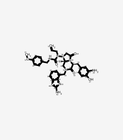 C=CCN(C(=O)NCc1ccc(OC)cc1)N1CC(=O)N2[C@@H](Cc3ccc(O)c(N)c3)C(=O)N(Cc3cccc4sc(N)nc34)C[C@@H]21